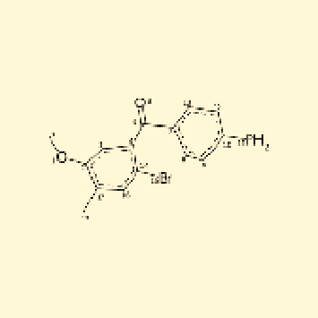 COc1cc(C(=O)c2ccc(P)cc2)c(Br)cc1C